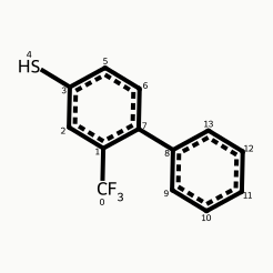 FC(F)(F)c1cc(S)ccc1-c1ccccc1